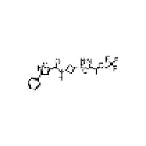 CC(OCC(F)(F)F)c1nnc([C@H]2C[C@H](NC(=O)c3cc(-c4ccccc4)no3)C2)o1